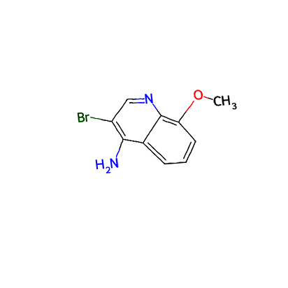 COc1cccc2c(N)c(Br)cnc12